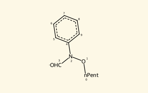 CCCCCON([C]=O)c1ccccc1